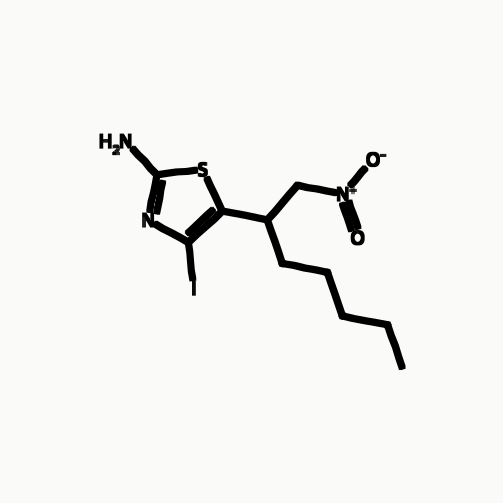 CCCCCC(C[N+](=O)[O-])c1sc(N)nc1I